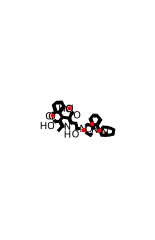 COc1ccccc1CN1C2CCC1CC(N1CCN(C(=O)CC3=C(C(=O)O)C(c4c(Cl)cccc4Cl)C(C(=O)O)=C(C)N3)CC1)C2